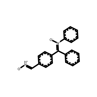 [O-][NH+]=Cc1ccc(C(c2ccccc2)=[N+]([O-])c2ccccc2)cc1